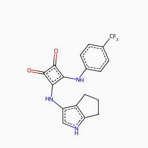 O=c1c(Nc2ccc(C(F)(F)F)cc2)c(Nc2c[nH]c3c2CCC3)c1=O